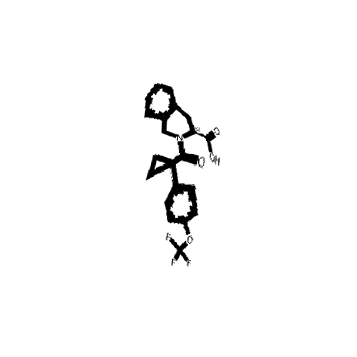 O=C(O)[C@@H]1Cc2ccccc2CN1C(=O)C1(c2ccc(OC(F)(F)F)cc2)CC1